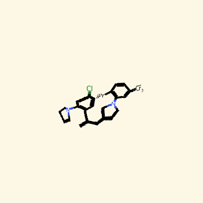 CC(C)c1ccc(C(F)(F)F)cc1N1CCC(CC(C)c2ccc(Cl)cc2N2CCCC2)C1